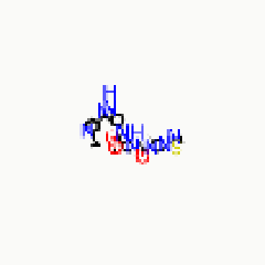 CO[C@@]1(C(=O)Nc2ccc3[nH]nc(-c4ccnc(C5CC5)c4)c3c2)CCN(CC(=O)N2CCN(c3nccs3)C[C@H]2C)C1